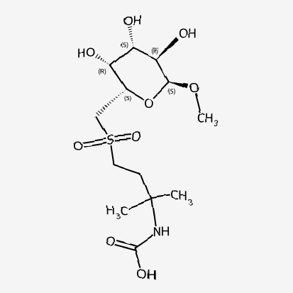 CO[C@H]1O[C@H](CS(=O)(=O)CCC(C)(C)NC(=O)O)[C@H](O)[C@H](O)[C@H]1O